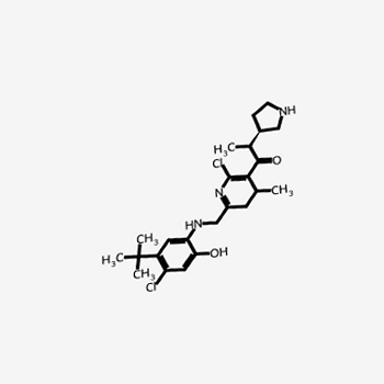 CC1CC(CNc2cc(C(C)(C)C)c(Cl)cc2O)=NC(Cl)=C1C(=O)C(C)[C@H]1CCNC1